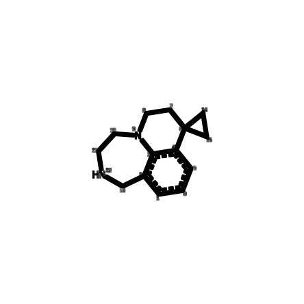 c1cc2c3c(c1)C1(CCN3CCNC2)CC1